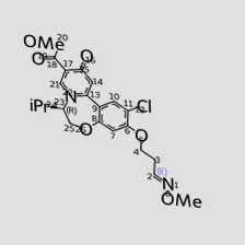 CO/N=C/CCOc1cc2c(cc1Cl)-c1cc(=O)c(C(=O)OC)cn1[C@H](C(C)C)CO2